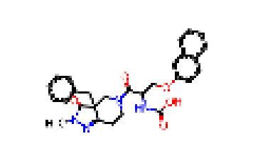 CN1N=C2CCN(C(=O)C(COc3ccc4ccccc4c3)NC(=O)O)CC2(Cc2ccccc2)C1=O